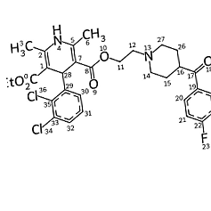 CCOC(=O)C1=C(C)NC(C)=C(C(=O)OCCN2CCC(C(=O)c3ccc(F)cc3)CC2)C1c1cccc(Cl)c1Cl